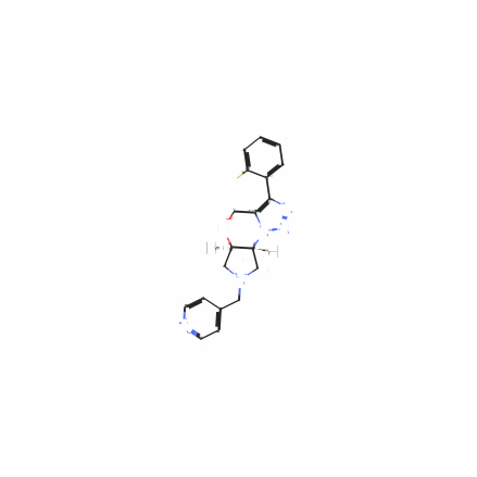 Fc1ccccc1-c1nnn2c1CO[C@@H]1CN(Cc3ccncc3)C[C@H]12